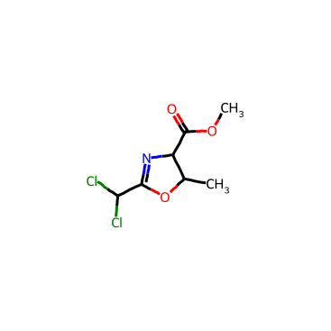 COC(=O)C1N=C(C(Cl)Cl)OC1C